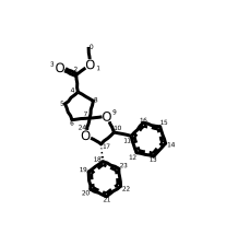 COC(=O)C1CCC2(C1)OC(c1ccccc1)[C@H](c1ccccc1)O2